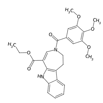 CCOC(=O)C1=CN(C(=O)c2cc(OC)c(OC)c(OC)c2)CCc2c1[nH]c1ccccc21